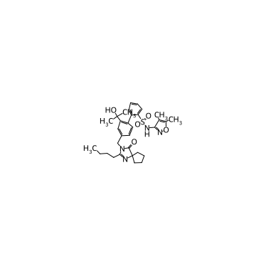 CCCCC1=NC2(CCCC2)C(=O)N1Cc1ccc(-c2ccccc2S(=O)(=O)Nc2noc(C)c2C)c(C(C)(C)O)c1